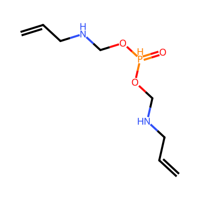 C=CCNCO[PH](=O)OCNCC=C